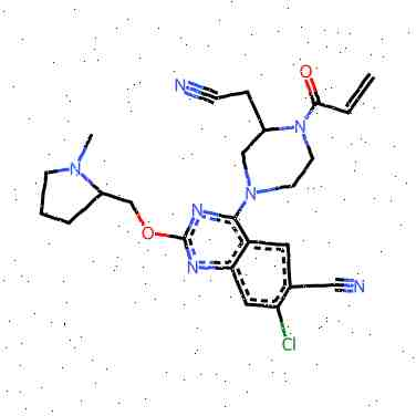 C=CC(=O)N1CCN(c2nc(OCC3CCCN3C)nc3cc(Cl)c(C#N)cc23)CC1CC#N